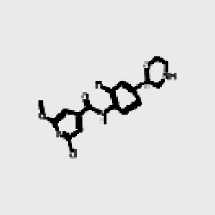 COc1cc(C(=O)Nc2ccc([C@@H]3CNCCO3)cc2F)cc(Cl)n1